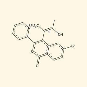 CCOC(=O)/C(=C(\C)O)c1c(-c2ccccn2)oc(=O)c2ccc(Br)cc12